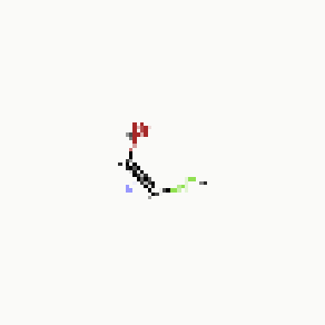 F/C=C\Br